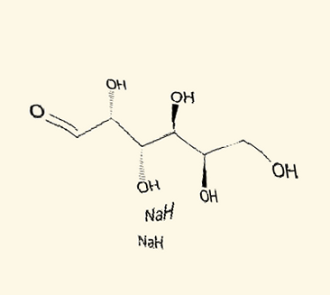 O=C[C@H](O)[C@@H](O)[C@@H](O)[C@H](O)CO.[NaH].[NaH]